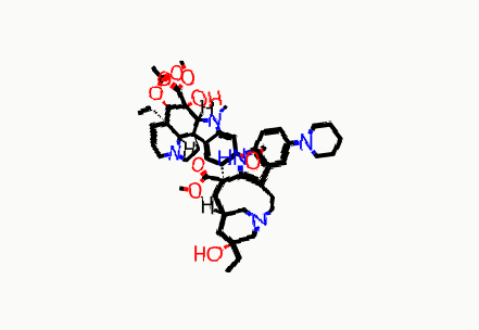 CC[C@]1(O)C[C@H]2CN(CCc3c([nH]c4ccc(N5CCCCC5)cc34)[C@@](C(=O)OC)(C3C=C4C(=CC3OC)N(C)[C@H]3[C@@](O)(C(=O)OC)[C@H](OC(C)=O)[C@]5(CC)C=CCN6CC[C@]43[C@@H]65)C2)C1